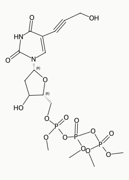 COP(=O)(OC)OP(=O)(OC)OP(=O)(OC)OC[C@H]1O[C@@H](n2cc(C#CCO)c(=O)[nH]c2=O)CC1O